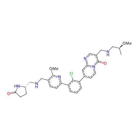 COc1nc(-c2cccc(-c3ccn4c(=O)c(CNC[C@H](C)OC)cnc4c3)c2Cl)ccc1CNC[C@@H]1CCC(=O)N1